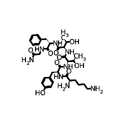 C[C@@H](O)[C@H](NC(=O)[C@H](Cc1ccc(O)cc1)NC(=O)[C@@H](N)CCCCN)C(=O)N[C@H](C(=O)N[C@@H](Cc1ccccc1)C(=O)NCC(N)=O)[C@@H](C)O